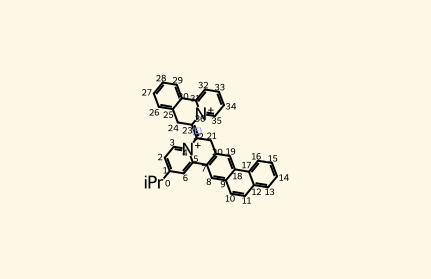 CC(C)c1cc[n+]2c(c1)-c1cc3ccc4ccccc4c3cc1C/C2=C1/Cc2ccccc2-c2cccc[n+]21